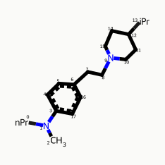 CCCN(C)c1ccc(CCN2CCC(C(C)C)CC2)cc1